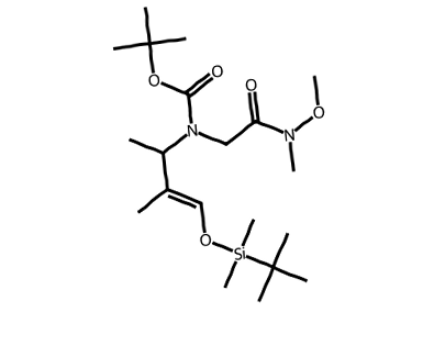 CON(C)C(=O)CN(C(=O)OC(C)(C)C)C(C)C(C)=CO[Si](C)(C)C(C)(C)C